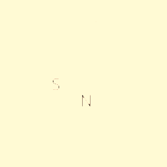 [CH2]N1CC=CS1